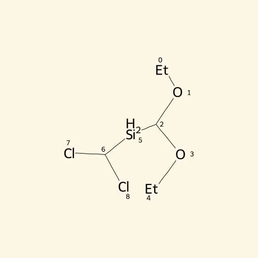 CCOC(OCC)[SiH2]C(Cl)Cl